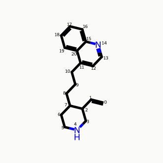 C=CC1CNCCC1CCCc1ccnc2ccccc12